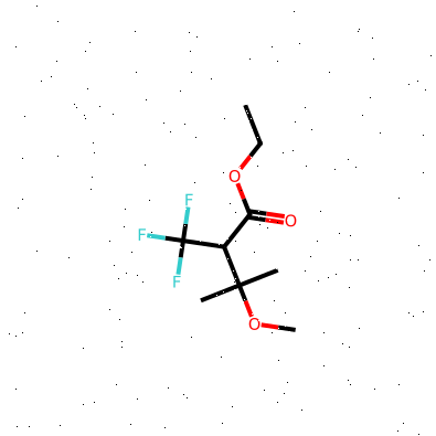 CCOC(=O)C(C(F)(F)F)C(C)(C)OC